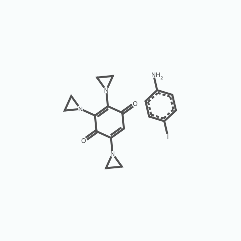 Nc1ccc(I)cc1.O=C1C=C(N2CC2)C(=O)C(N2CC2)=C1N1CC1